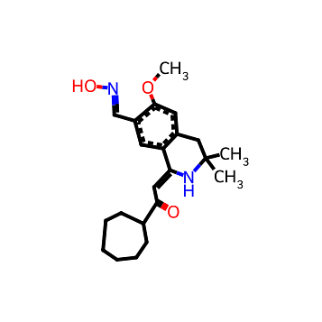 COc1cc2c(cc1C=NO)C(=CC(=O)C1CCCCCC1)NC(C)(C)C2